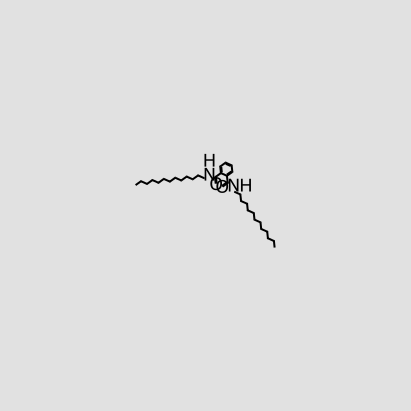 CCCCCCCCCCCCCNC(=O)c1ccccc1C(=O)NCCCCCCCCCCCCC